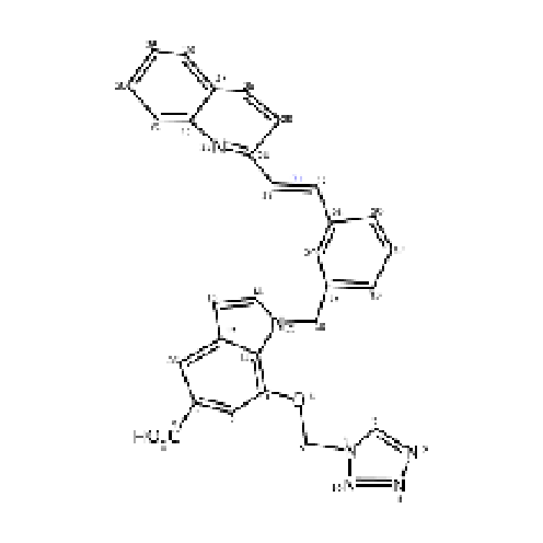 O=C(O)c1cc(OCn2cnnn2)c2c(ccn2Cc2cccc(/C=C/c3ccc4ccccc4n3)c2)c1